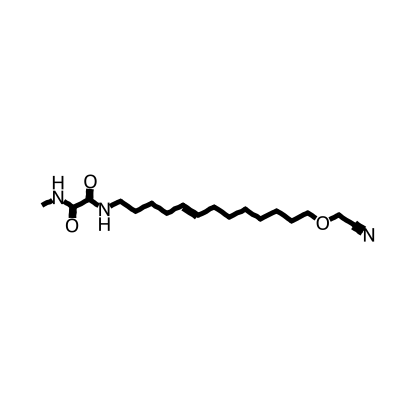 CNC(=O)C(=O)NCCCCC=CCCCCCCCOCC#N